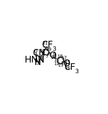 N#Cc1[nH]nnc1-c1cc(OCc2ccc(OC(F)(F)F)cc2)cc(C(F)(F)F)c1